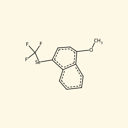 COc1ccc([Se]C(F)(F)F)c2ccccc12